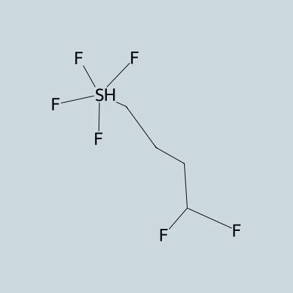 FC(F)CCC[SH](F)(F)(F)F